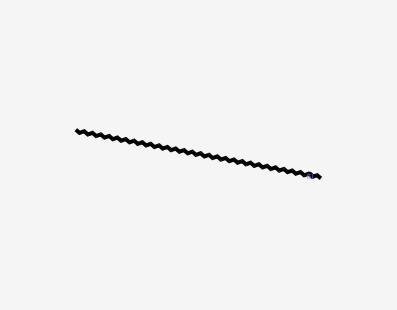 CC/C=C/CCCCCCCCCCCCCCCCCCCCCCCCCCCCCCCCCCCCCCCCCCCCCCCCCCCCCCCC